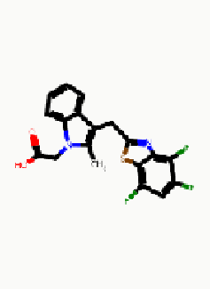 Cc1c(Cc2nc3c(F)c(F)cc(F)c3s2)c2ccccc2n1CC(=O)O